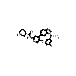 C[C@H](c1cccc(F)c1)n1nnc2ccc(-c3cc(NC(=O)[C@@H]4CCCNC4)ncc3Cl)cc21